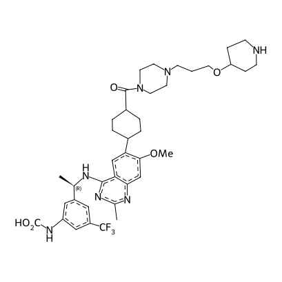 COc1cc2nc(C)nc(N[C@H](C)c3cc(NC(=O)O)cc(C(F)(F)F)c3)c2cc1C1CCC(C(=O)N2CCN(CCCOC3CCNCC3)CC2)CC1